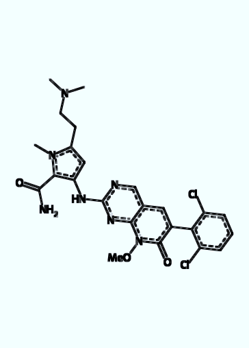 COn1c(=O)c(-c2c(Cl)cccc2Cl)cc2cnc(Nc3cc(CCN(C)C)n(C)c3C(N)=O)nc21